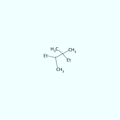 CC[C](C)C(C)(C)CC